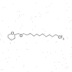 FC(F)(F)CCCCCCCCCCCOCC1CCCCO1